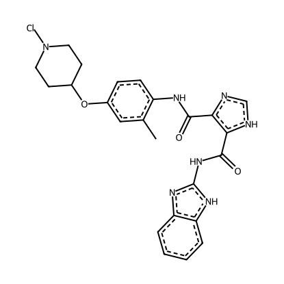 Cc1cc(OC2CCN(Cl)CC2)ccc1NC(=O)c1nc[nH]c1C(=O)Nc1nc2ccccc2[nH]1